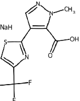 Cn1ncc(-c2nc(C(F)(F)F)cs2)c1C(=O)O.[NaH]